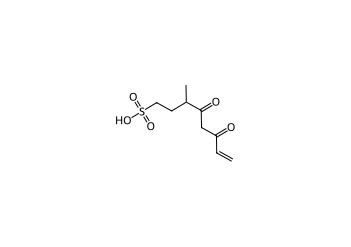 C=CC(=O)CC(=O)C(C)CCS(=O)(=O)O